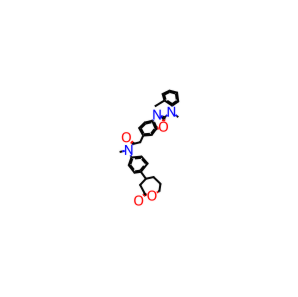 Cc1ccccc1N(C)c1nc2ccc(CC(=O)N(C)c3ccc(C4CCCOC(=O)C4)cc3)cc2o1